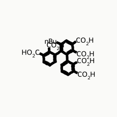 CCCCc1cc(C(=O)O)c(C(=O)O)c(-c2cccc(C(=O)O)c2C(=O)O)c1-c1cccc(C(=O)O)c1C(=O)O